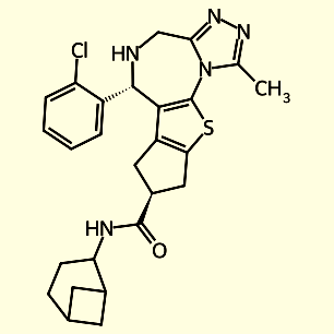 Cc1nnc2n1-c1sc3c(c1[C@H](c1ccccc1Cl)NC2)C[C@H](C(=O)NC1CCC2CC1C2)C3